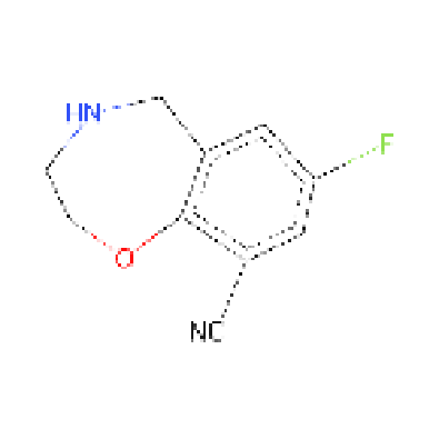 N#Cc1cc(F)cc2c1OCCNC2